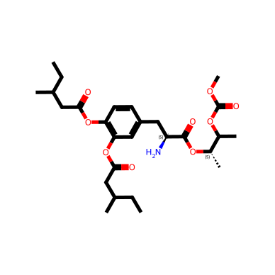 CCC(C)CC(=O)Oc1ccc(C[C@H](N)C(=O)O[C@@H](C)C(C)OC(=O)OC)cc1OC(=O)CC(C)CC